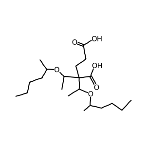 CCCCC(C)OC(C)C(CCC(=O)O)(C(=O)O)C(C)OC(C)CCCC